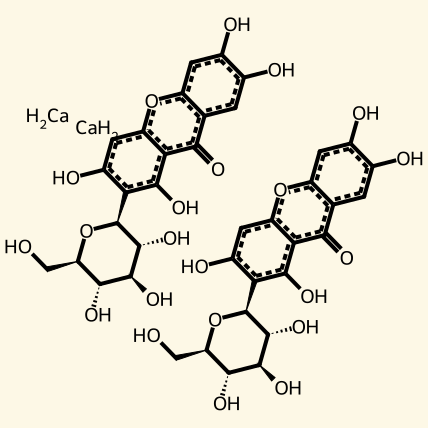 O=c1c2cc(O)c(O)cc2oc2cc(O)c([C@@H]3O[C@H](CO)[C@@H](O)[C@H](O)[C@H]3O)c(O)c12.O=c1c2cc(O)c(O)cc2oc2cc(O)c([C@@H]3O[C@H](CO)[C@@H](O)[C@H](O)[C@H]3O)c(O)c12.[CaH2].[CaH2]